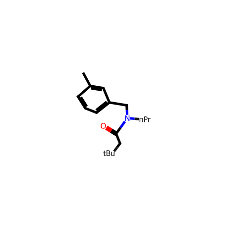 CCCN(Cc1cccc(C)c1)C(=O)CC(C)(C)C